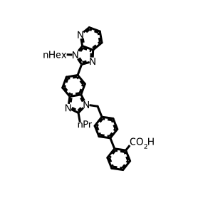 CCCCCCn1c(-c2ccc3nc(CCC)n(Cc4ccc(-c5ccccc5C(=O)O)cc4)c3c2)nc2cccnc21